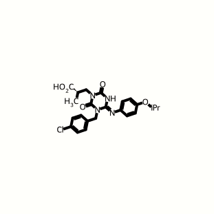 CC(C)Oc1ccc(/N=c2\[nH]c(=O)n(C[C@H](C)C(=O)O)c(=O)n2Cc2ccc(Cl)cc2)cc1